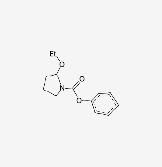 CCOC1CCCN1C(=O)Oc1ccccc1